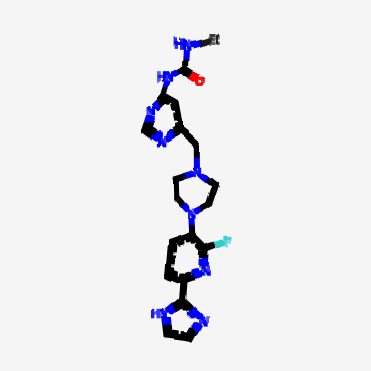 CCNC(=O)Nc1cc(CN2CCN(c3ccc(-c4ncc[nH]4)nc3F)CC2)ncn1